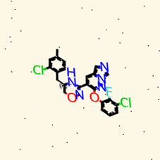 Cc1ccc(C[C@@H]2CON=C(c3cc4cncn4nc3Oc3cccc(Cl)c3F)N2)c(Cl)c1